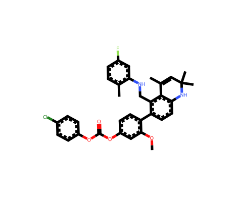 COc1cc(OC(=O)Oc2ccc(Cl)cc2)ccc1-c1ccc2c(c1CNc1cc(F)ccc1C)C(C)=CC(C)(C)N2